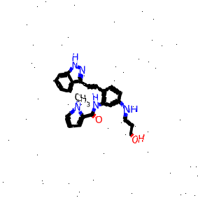 Cn1cccc1C(=O)Nc1cc(NCCCO)ccc1C=Cc1n[nH]c2ccccc12